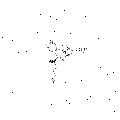 CN(C)CCCNc1nc2cc(C(=O)O)nn2c2cnccc12